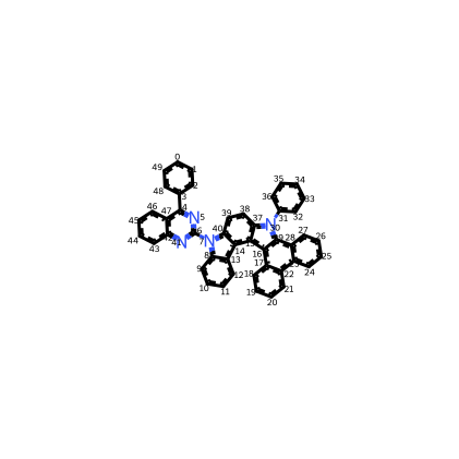 c1ccc(-c2nc(-n3c4ccccc4c4c5c6c7ccccc7c7ccccc7c6n(-c6ccccc6)c5ccc43)nc3ccccc23)cc1